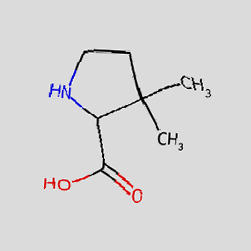 CC1(C)CCNC1C(=O)O